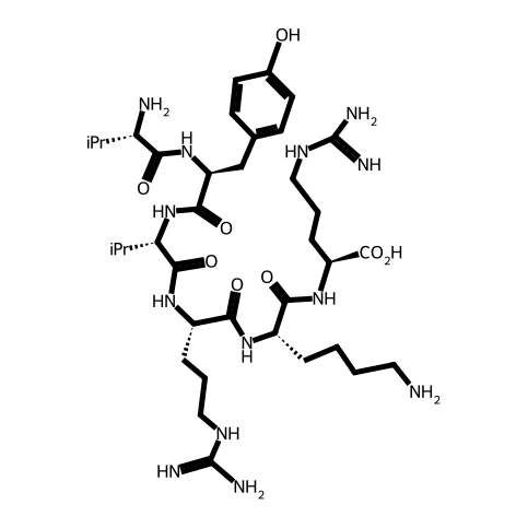 CC(C)[C@H](N)C(=O)N[C@@H](Cc1ccc(O)cc1)C(=O)N[C@H](C(=O)N[C@@H](CCCNC(=N)N)C(=O)N[C@@H](CCCCN)C(=O)N[C@@H](CCCNC(=N)N)C(=O)O)C(C)C